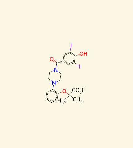 CC(C)(Oc1ccccc1N1CCN(C(=O)c2cc(I)c(O)c(I)c2)CC1)C(=O)O